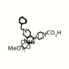 COC(OC)[C@@H](C)Oc1nc2c(c(N3CCN(C(=O)O)CC3)n1)CCN(Cc1ccccc1)C2